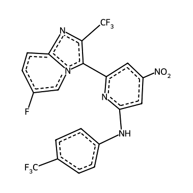 O=[N+]([O-])c1cc(Nc2ccc(C(F)(F)F)cc2)nc(-c2c(C(F)(F)F)nc3ccc(F)cn23)c1